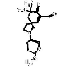 COc1ccc(N2CCC3(C=C(C#N)C(=O)C(C)(C)C3)C2)cn1